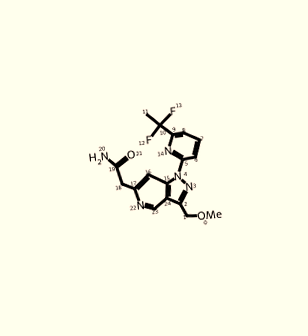 COCc1nn(-c2cccc(C(C)(F)F)n2)c2cc(CC(N)=O)ncc12